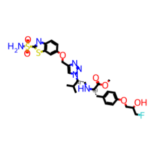 COC(=O)[C@H](Cc1ccc(OCC(O)CF)cc1)NC[C@H](C(C)C)n1cc(COc2ccc3nc(S(N)(=O)=O)sc3c2)nn1